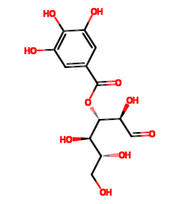 O=C[C@H](O)[C@@H](OC(=O)c1cc(O)c(O)c(O)c1)[C@H](O)[C@H](O)CO